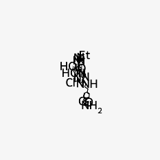 CCn1nnc([C@H]2O[C@@H](n3cnc4c(NCCc5ccc(S(N)(=O)=O)cc5)nc(Cl)nc43)[C@@H](O)[C@@H]2O)n1